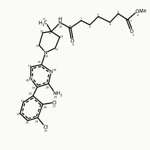 COC(=O)CCCCCC(=O)NC1(C)CCN(c2cnc(-c3cccc(Cl)c3Cl)c(N)n2)CC1